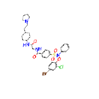 O=C(CNC(=O)c1ccc(S(=O)(=O)N(Oc2ccc(Br)cc2Cl)c2ccccc2)cc1)NC1CCC(CCN2CCCC2)CC1